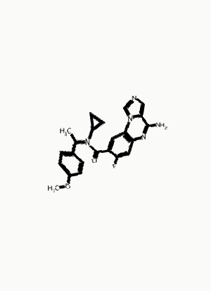 COc1ccc(C(C)N(C(=O)c2cc3c(cc2F)nc(N)c2cncn23)C2CC2)cc1